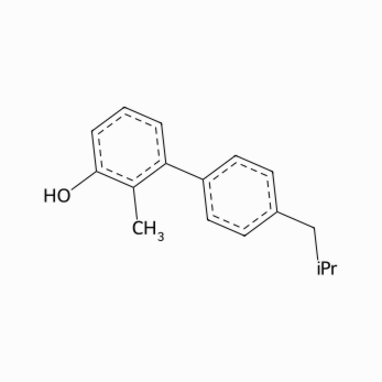 Cc1c(O)cccc1-c1ccc(CC(C)C)cc1